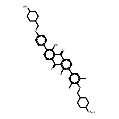 CCCCCC1CCC(COc2c(C)cc(-c3ccc4c(c3O)C(=O)c3ccc(-c5ccc(OCC6CCC(CCC)CC6)cc5)c(O)c3C4=O)cc2C)CC1